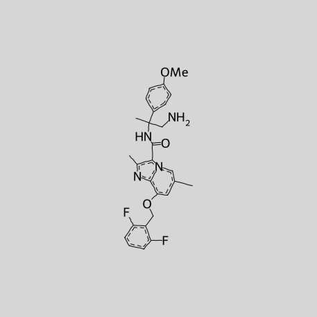 COc1ccc(C(C)(CN)NC(=O)c2c(C)nc3c(OCc4c(F)cccc4F)cc(C)cn23)cc1